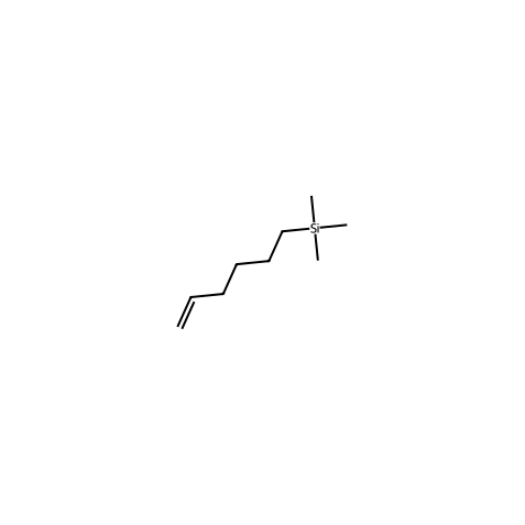 C=CCCCC[Si](C)(C)C